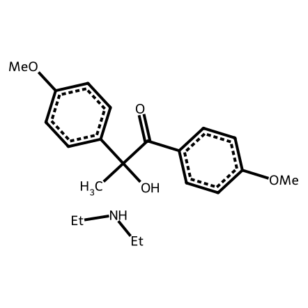 CCNCC.COc1ccc(C(=O)C(C)(O)c2ccc(OC)cc2)cc1